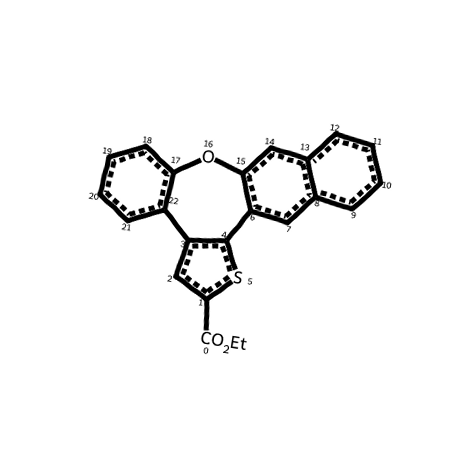 CCOC(=O)c1cc2c(s1)-c1cc3ccccc3cc1Oc1ccccc1-2